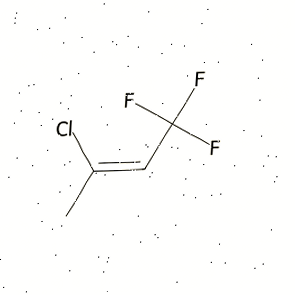 CC(Cl)=CC(F)(F)F